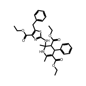 CCOC(=O)C1=C(C)NC(C)(Nc2nc(C(=O)OCC)c(Cc3ccccc3)s2)C(C(=O)OCC)C1c1ccccc1